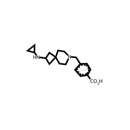 O=C(O)c1ccc(CN2CCC3(CC2)CC(NC2CC2)C3)cc1